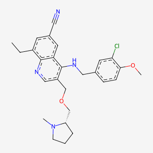 CCc1cc(C#N)cc2c(NCc3ccc(OC)c(Cl)c3)c(COC[C@@H]3CCCN3C)cnc12